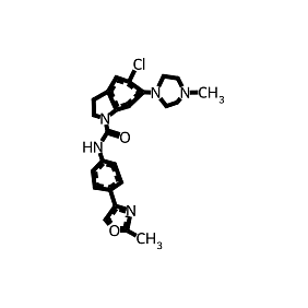 Cc1nc(-c2ccc(NC(=O)N3CCc4cc(Cl)c(N5CCN(C)CC5)cc43)cc2)co1